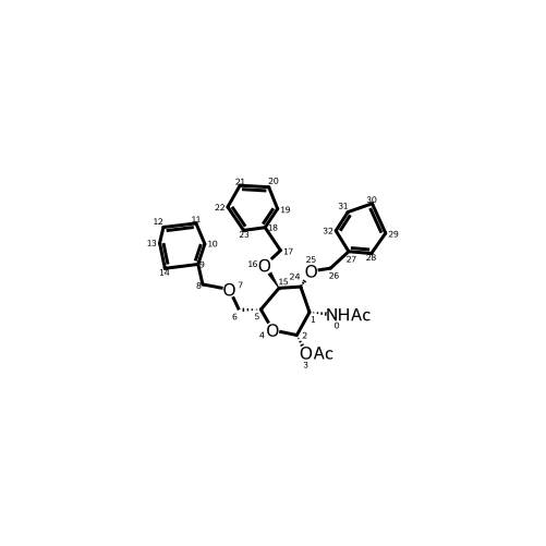 CC(=O)N[C@@H]1[C@H](OC(C)=O)O[C@H](COCc2ccccc2)[C@@H](OCc2ccccc2)[C@@H]1OCc1ccccc1